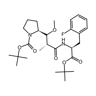 COC([C@@H](C)C(=O)N[C@@H](Cc1ccccc1F)C(=O)OC(C)(C)C)[C@@H]1CCCN1C(=O)OC(C)(C)C